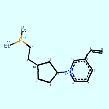 C=Cc1ccc[n+](C2CCC(CCP(CC)CC)C2)c1